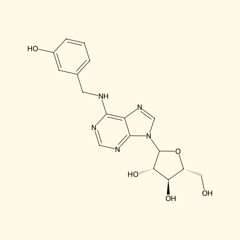 OC[C@H]1OC(n2cnc3c(NCc4cccc(O)c4)ncnc32)[C@@H](O)[C@@H]1O